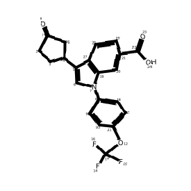 O=C1CCC(c2cn(-c3ccc(OC(F)(F)F)cc3)c3cc(C(=O)O)ccc23)C1